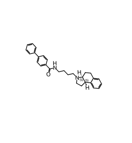 O=C(NCCCCN1CC[C@H]2c3ccccc3CC[C@@H]21)c1ccc(-c2ccccc2)cc1